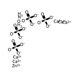 N.O.O=P([O-])([O-])[O-].O=P([O-])([O-])[O-].O=P([O-])([O-])[O-].O=P([O-])([O-])[O-].[Ca+2].[Ca+2].[Ca+2].[Ca+2].[Ca+2].[Zn+2]